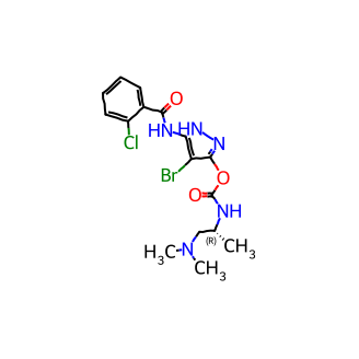 C[C@H](CN(C)C)NC(=O)Oc1n[nH]c(NC(=O)c2ccccc2Cl)c1Br